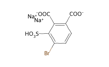 O=C([O-])c1ccc(Br)c(S(=O)(=O)O)c1C(=O)[O-].[Na+].[Na+]